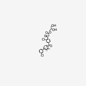 C[C@H]1[C@H](C)N(c2cccc(Cl)c2)CCN1C(=O)c1ccc([S+]([O-])CC(=O)OCC(O)CO)c(Cl)c1